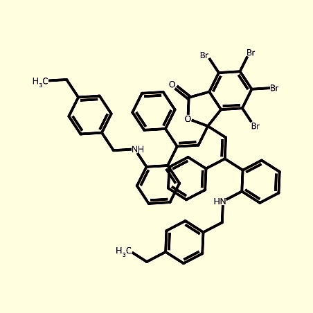 CCc1ccc(CNc2ccccc2C(=CC2(C=C(c3ccccc3)c3ccccc3NCc3ccc(CC)cc3)OC(=O)c3c(Br)c(Br)c(Br)c(Br)c32)c2ccccc2)cc1